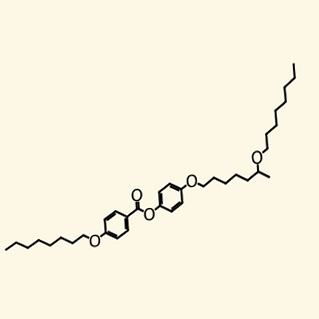 CCCCCCCCOc1ccc(C(=O)Oc2ccc(OCCCCCC(C)OCCCCCCCC)cc2)cc1